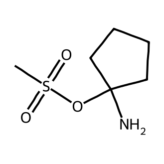 CS(=O)(=O)OC1(N)CCCC1